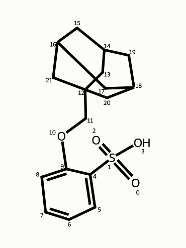 O=S(=O)(O)c1ccccc1OCC12CC3CC(CC(C3)C1)C2